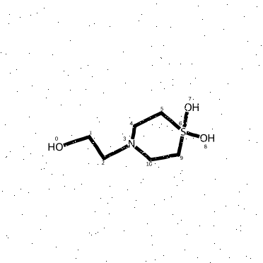 OCCN1CCS(O)(O)CC1